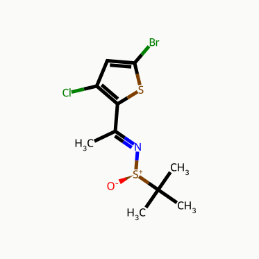 CC(=N[S@+]([O-])C(C)(C)C)c1sc(Br)cc1Cl